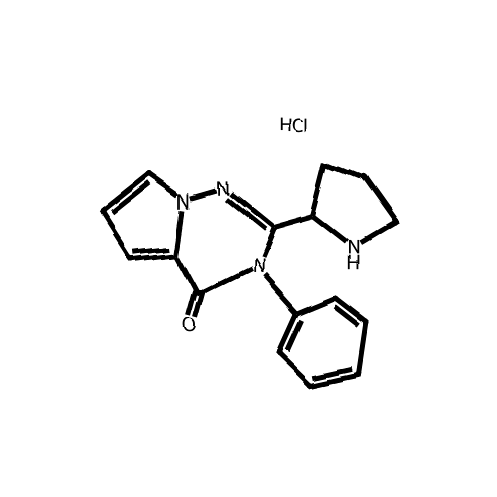 Cl.O=c1c2cccn2nc(C2CCCN2)n1-c1ccccc1